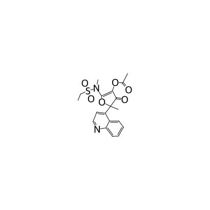 CCS(=O)(=O)N(C)C1=C(OC(C)=O)C(=O)C(C)(c2ccnc3ccccc23)O1